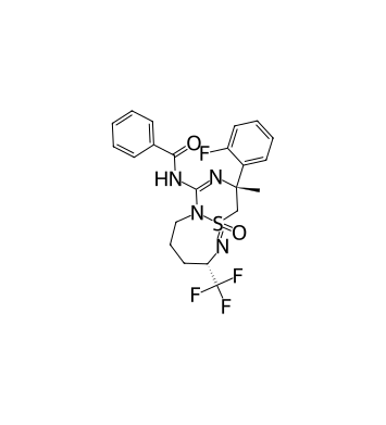 C[C@@]1(c2ccccc2F)CS2(=O)=N[C@H](C(F)(F)F)CCCN2C(NC(=O)c2ccccc2)=N1